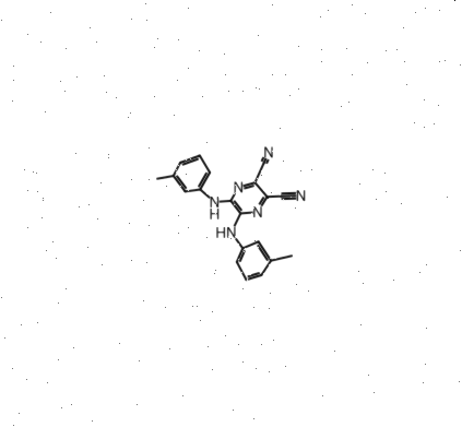 Cc1cccc(Nc2nc(C#N)c(C#N)nc2Nc2cccc(C)c2)c1